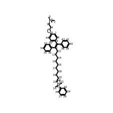 CN(C)CCOc1ccc(/C(=C(/CCCCCCCCCC[PH](C)(C)c2ccccc2)c2ccccc2)c2ccccc2)cc1